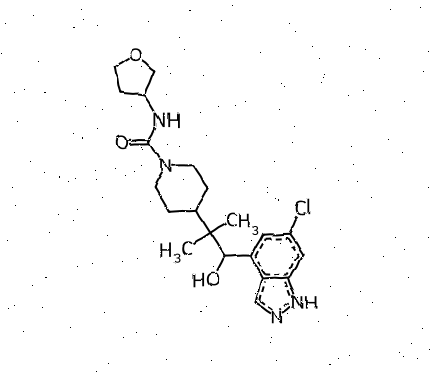 CC(C)(C1CCN(C(=O)NC2CCOC2)CC1)C(O)c1cc(Cl)cc2[nH]ncc12